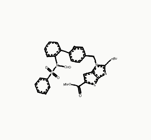 CCCCc1nc2sc(C(=O)OC)cc2n1Cc1ccc(-c2ccccc2N(C=O)S(=O)(=O)c2ccccc2)cc1